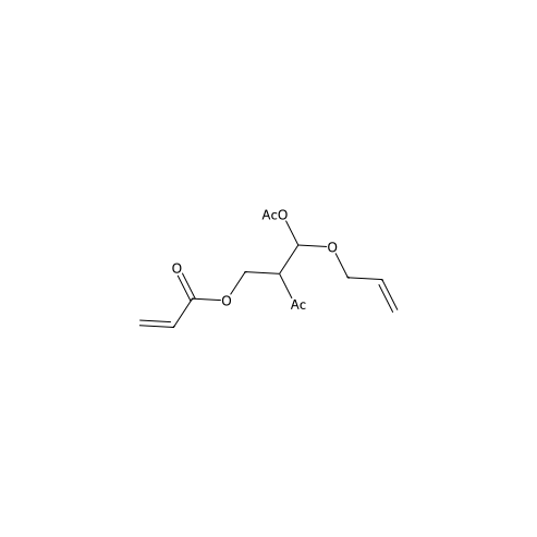 C=CCOC(OC(C)=O)C(COC(=O)C=C)C(C)=O